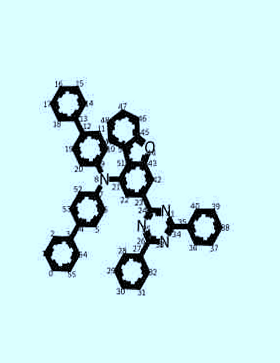 c1ccc(-c2ccc(N(c3ccc(-c4ccccc4)cc3)c3cc(-c4nc(-c5ccccc5)nc(-c5ccccc5)n4)cc4oc5ccccc5c34)cc2)cc1